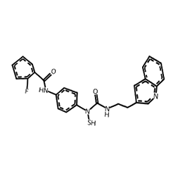 O=C(Nc1ccc(N(S)C(=O)NCCc2cnc3ccccc3c2)cc1)c1ccccc1F